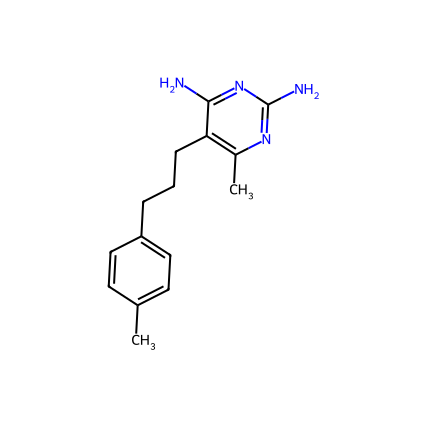 Cc1ccc(CCCc2c(C)nc(N)nc2N)cc1